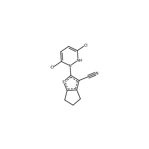 N#Cc1c(N2NC(Cl)=CC=C2Cl)sc2c1CCC2